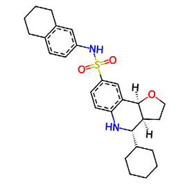 O=S(=O)(Nc1ccc2c(c1)CCCC2)c1ccc2c(c1)[C@H]1OCC[C@H]1[C@H](C1CCCCC1)N2